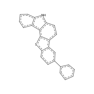 c1ccc(-c2ccc3sc4c(ccc5[nH]c6ccccc6c54)c3c2)cc1